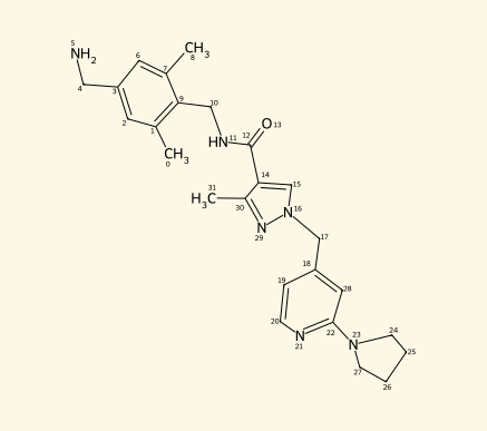 Cc1cc(CN)cc(C)c1CNC(=O)c1cn(Cc2ccnc(N3CCCC3)c2)nc1C